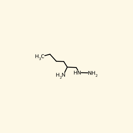 CCCCC(N)CNN